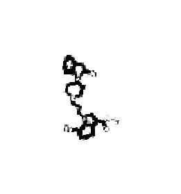 CC(=O)c1cn(CCCN2CCC(N3C(=O)Cc4ccccc43)CC2)c2c(Br)cccc12